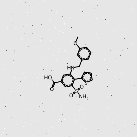 COc1cccc(CNc2cc(C(=O)O)cc(S(N)(=O)=O)c2-c2cccs2)c1